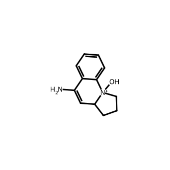 NC1=CC2CCC[N+]2(O)c2ccccc21